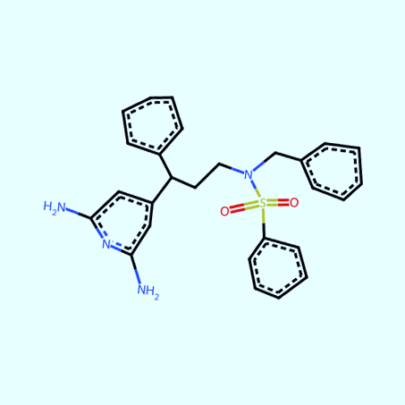 Nc1cc(C(CCN(Cc2ccccc2)S(=O)(=O)c2ccccc2)c2ccccc2)cc(N)n1